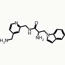 NCc1ccnc(CNC(=O)C(N)Cn2ccc3ccccc32)c1